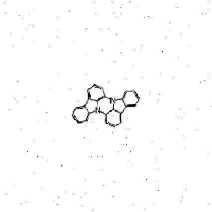 C1=CC2C3C(=C1)c1ccccc1N3c1cccc3c4ccccc4n2c13